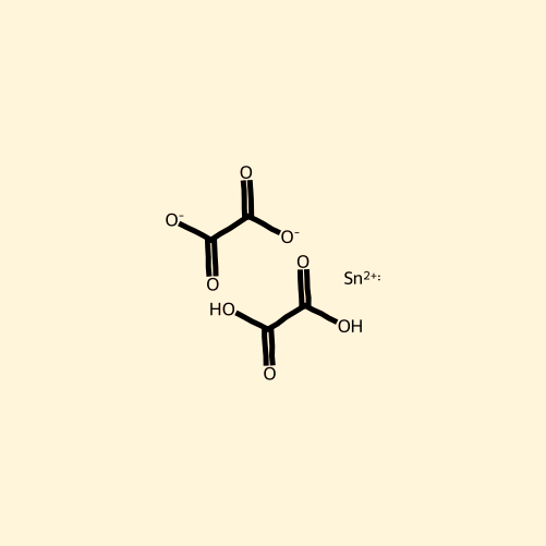 O=C(O)C(=O)O.O=C([O-])C(=O)[O-].[Sn+2]